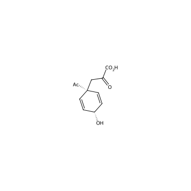 CC(=O)[C@]1(CC(=O)C(=O)O)C=C[C@H](O)C=C1